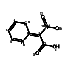 O=C(O)C(=C1N=CC=CS1)[N+](=O)[O-]